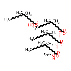 CCCCCCCC/C(C)=C(/C)CCCCCCC(O)C(=O)[O-].CCCCCCCC/C(C)=C(/C)CCCCCCC(O)C(=O)[O-].CCCCCCCC/C(C)=C(/C)CCCCCCC(O)C(=O)[O-].CCCCCCCC/C(C)=C(/C)CCCCCCC(O)C(=O)[O-].[Sn+4]